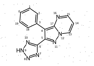 c1ccc(-c2c(-c3nn[nH]n3)nn3cccnc23)cc1